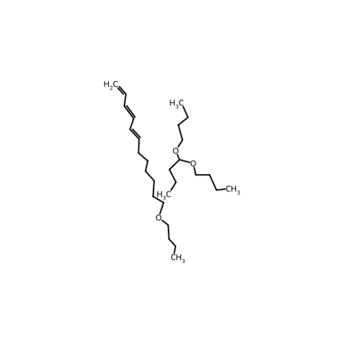 C=CC=CC=CCCCCCCOCCCC.CCCCOC(CCC)OCCCC